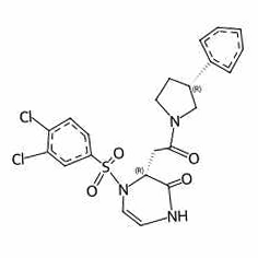 O=C1NC=CN(S(=O)(=O)c2ccc(Cl)c(Cl)c2)[C@@H]1CC(=O)N1CC[C@H](c2ccccc2)C1